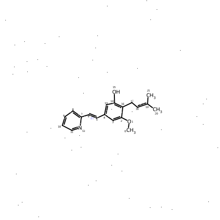 COc1cc(/C=C/c2ccccn2)cc(O)c1CC=C(C)C